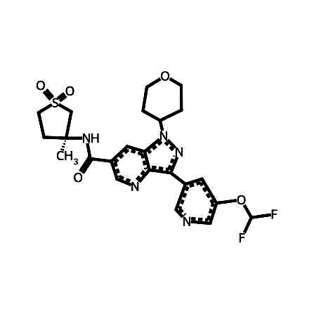 C[C@]1(NC(=O)c2cnc3c(-c4cncc(OC(F)F)c4)nn(C4CCOCC4)c3c2)CCS(=O)(=O)C1